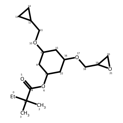 CCC(C)(C)C(=O)OC1CC(OCC2CC2)CC(OCC2CO2)C1